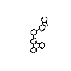 C1=Cc2c(oc3ccc(-c4cccc(-c5cnc6c7ccccc7c7ccccc7c6n5)c4)cc23)CC1